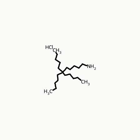 CCCCCC(CCCCC)(CCCCC)CCCCCN.Cl